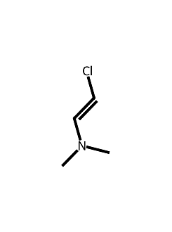 CN(C)C=CCl